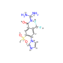 CS(=O)(=O)c1cc(C(=O)N=C(N)N)c(C(F)F)cc1-n1ccnc1